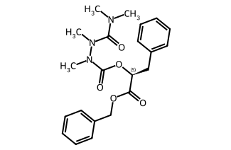 CN(C)C(=O)N(C)N(C)C(=O)O[C@@H](Cc1ccccc1)C(=O)OCc1ccccc1